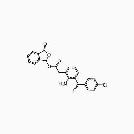 Nc1c(CC(=O)OC2OC(=O)c3ccccc32)cccc1C(=O)c1ccc(Cl)cc1